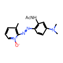 CC(=O)Nc1cc(N(C)C)ccc1N=Nc1c(C)ccc[n+]1[O-]